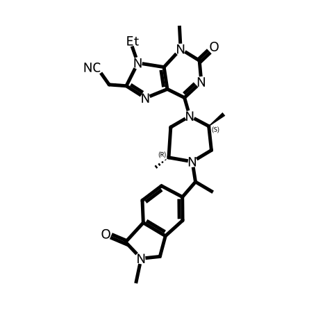 CCn1c(CC#N)nc2c(N3C[C@@H](C)N(C(C)c4ccc5c(c4)CN(C)C5=O)C[C@@H]3C)nc(=O)n(C)c21